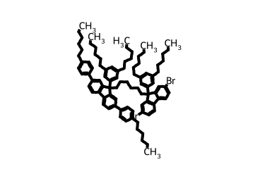 CCCCCCc1ccc(-c2ccc3c(c2)C(CCCCCCC2(c4cc(CCCCCC)cc(CCCCCC)c4)c4cc(Br)ccc4-c4ccc(Br)cc42)(c2cc(CCCCCC)cc(CCCCCC)c2)c2cc(-c4ccc(CCCCCC)cc4)ccc2-3)cc1